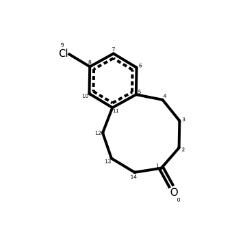 O=C1CCCc2ccc(Cl)cc2CCC1